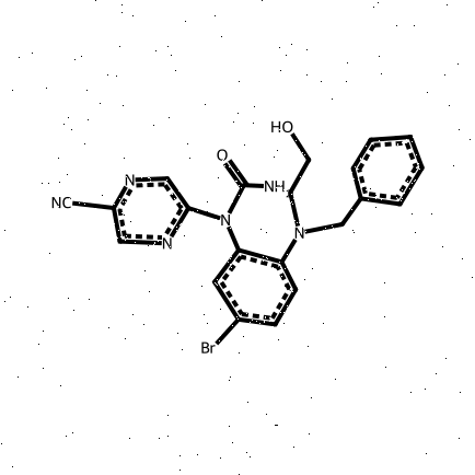 N#Cc1cnc(N(C(N)=O)c2cc(Br)ccc2N(CCO)Cc2ccccc2)cn1